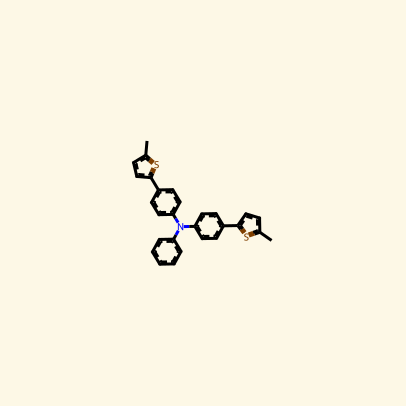 Cc1ccc(-c2ccc(N(c3ccccc3)c3ccc(-c4ccc(C)s4)cc3)cc2)s1